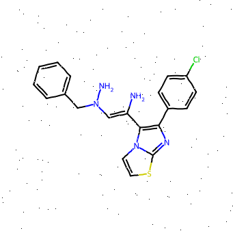 N/C(=C\N(N)Cc1ccccc1)c1c(-c2ccc(Cl)cc2)nc2sccn12